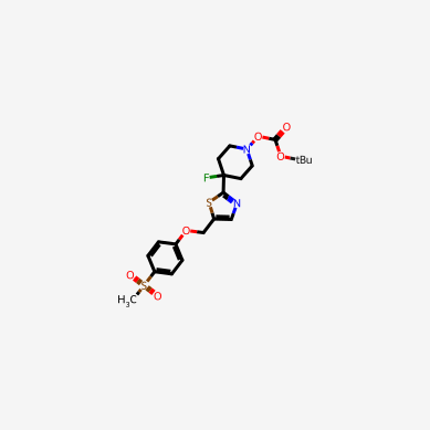 CC(C)(C)OC(=O)ON1CCC(F)(c2ncc(COc3ccc(S(C)(=O)=O)cc3)s2)CC1